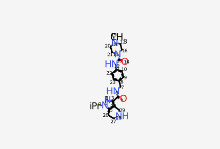 CC(C)n1nc(C(=O)NCc2ccc(NC(=O)N3CCN(C)CC3)cc2)c2c1CCNC2